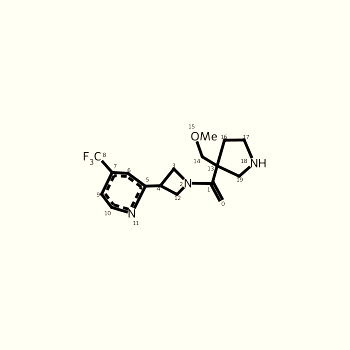 C=C(N1CC(c2cc(C(F)(F)F)ccn2)C1)C1(COC)CCNC1